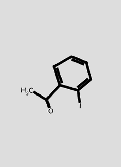 CC([O])c1ccccc1I